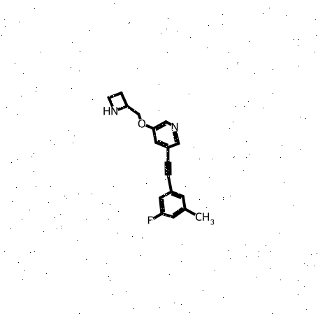 Cc1cc(F)cc(C#Cc2cncc(OCC3CCN3)c2)c1